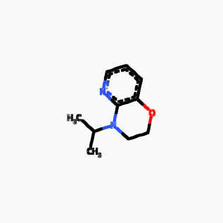 CC(C)N1CCOc2cccnc21